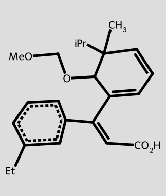 CCc1cccc(C(=CC(=O)O)C2=CC=CC(C)(C(C)C)C2OCOC)c1